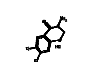 Cl.NC1COc2cc(Cl)c(Cl)cc2C1=O